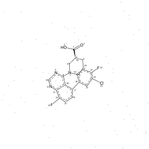 O=C(O)[C@H]1CCCN(c2ncnc3c(F)ccc(-c4ccc(F)c(Cl)c4)c23)C1